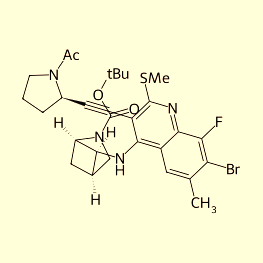 CSc1nc2c(F)c(Br)c(C)cc2c(N[C@H]2[C@@H]3C[C@H]2N(C(=O)OC(C)(C)C)C3)c1C#C[C@H]1CCCN1C(C)=O